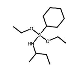 CCO[Si](NC(C)CC)(OCC)C1CCCCC1